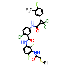 CCSCC(=O)Nc1c(F)ccc(NC(=O)c2cc(NC(=O)C3[C@H](c4ccc(F)c(C(F)(F)F)c4)C3(Cl)Cl)ccc2Cl)c1F